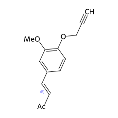 C#CCOc1ccc(/C=C/C(C)=O)cc1OC